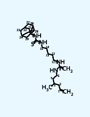 C=CCC(C)CCNC(=C)NCCCCCNC(=S)NC12CC3CC(CC(C3)C1)C2